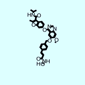 COc1cc2ncnc(Oc3ccc4c(C(=O)NC(C)C)c(C)oc4c3)c2cc1OCc1ccc(/C=C/C(=O)NO)cc1